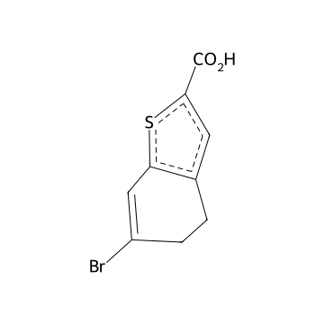 O=C(O)c1cc2c(s1)C=C(Br)CC2